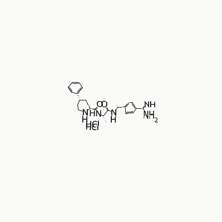 C[C@H](NC(=O)[C@@H]1C[C@@H](c2ccccc2)CCN1)C(=O)NCc1ccc(C(=N)N)cc1.Cl.Cl